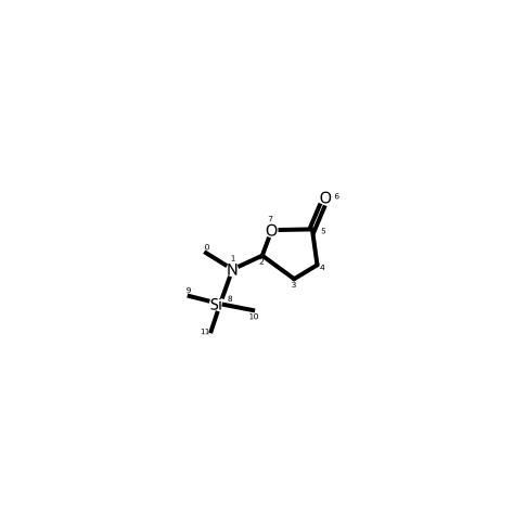 CN(C1CCC(=O)O1)[Si](C)(C)C